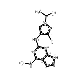 CNc1nc(Nc2cn(C(C)C)nc2Cl)nc2[nH]ccc12